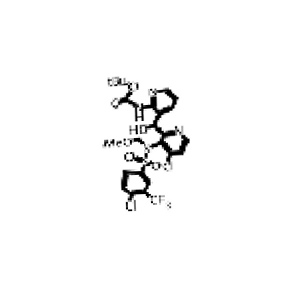 COCN(c1c(Cl)ccnc1C(O)c1cccnc1NC(=O)OC(C)(C)C)S(=O)(=O)c1ccc(Cl)c(C(F)(F)F)c1